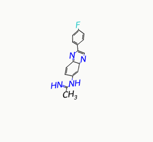 CC(=N)Nc1ccc2nc(-c3ccc(F)cc3)cnc2c1